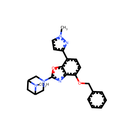 Cn1ccc(-c2ccc(OCc3ccccc3)c3nc(N4CC5CC(C4)N5C(=O)O)oc23)n1